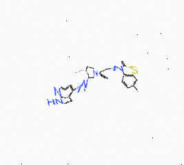 C=C(CN1C(=C)Sc2cc(C)ccc21)N1CC[C@@H](C)[C@@H](N(C)c2ccnc3[nH]ccc23)C1